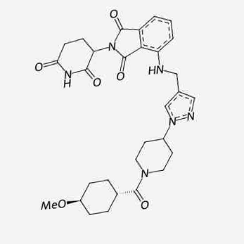 CO[C@H]1CC[C@H](C(=O)N2CCC(n3cc(CNc4cccc5c4C(=O)N(C4CCC(=O)NC4=O)C5=O)cn3)CC2)CC1